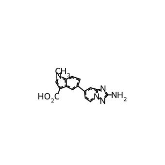 Cn1cc(C(=O)O)c2cc(-c3ccn4nc(N)nc4c3)ccc21